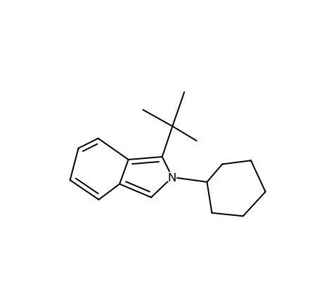 CC(C)(C)c1c2ccccc2cn1C1CCCCC1